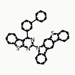 c1ccc(-c2cccc(-c3nc(-n4c5ccccc5c5cc6c(cc54)sc4ccccc46)nc4sc5ccccc5c34)c2)cc1